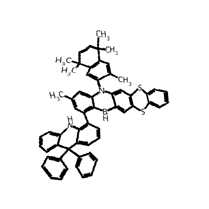 Cc1cc(-c2cccc3c2Nc2ccccc2C3(c2ccccc2)c2ccccc2)c2c(c1)N(c1cc3c(cc1C)C(C)(C)CCC3(C)C)c1cc3c(cc1B2)Sc1ccccc1S3